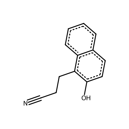 N#CCCc1c(O)ccc2ccccc12